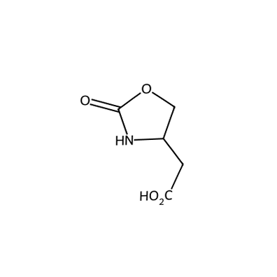 O=C(O)CC1COC(=O)N1